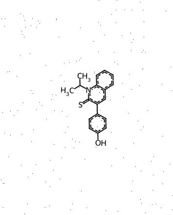 CC(C)n1c(=S)c(-c2ccc(O)cc2)cc2ccccc21